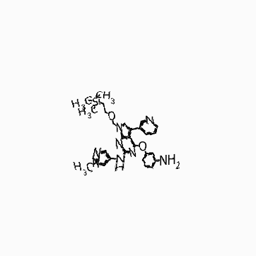 Cn1cc(Nc2nc(Oc3cccc(N)c3)c3c(-c4cccnc4)cn(COCC[Si](C)(C)C)c3n2)cn1